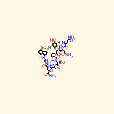 CC[C@H](C)[C@H](NC(=O)[C@@H]1CCCN1C(=O)[C@H](Cc1ccc(O)cc1)NC(=O)[C@H](CC(N)=O)NC(=O)[C@@H](N)CCC(N)=O)C(=O)N[C@H](C(=O)N[C@@H](CCC(N)=O)C(=O)NCCNc1cccc2c(S(=O)(=O)O)cccc12)C(C)C